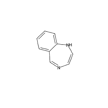 C1=CNc2ccccc2C=N1